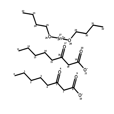 CCCCCC(=O)CC(=O)[O-].CCCCCC(=O)CC(=O)[O-].CCCC[O][Sn+2][O]CCCC